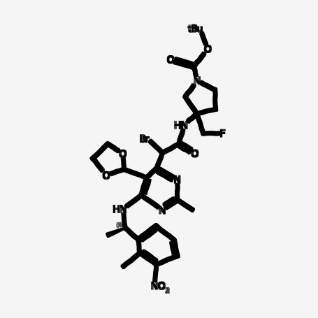 Cc1nc(N[C@H](C)c2cccc([N+](=O)[O-])c2C)c(C2OCCO2)c(C(Br)C(=O)NC2(CF)CCN(C(=O)OC(C)(C)C)C2)n1